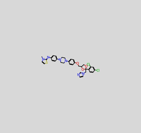 Cn1ccs/c1=N\c1ccc(N2CCN(c3ccc(OCC4COC(Cn5ccnc5)(c5ccc(Cl)cc5Cl)O4)cc3)CC2)cc1